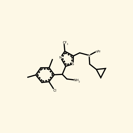 CCCN(Cc1sc(C(CN)c2c(C)cc(C)cc2Cl)nc1C(F)(F)F)CC1CC1